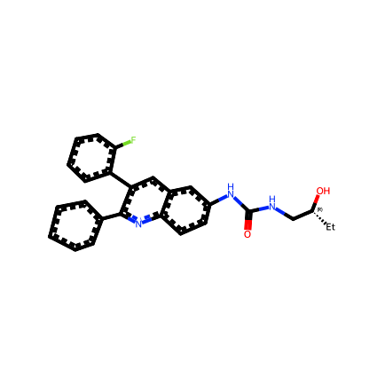 CC[C@@H](O)CNC(=O)Nc1ccc2nc(-c3ccccc3)c(-c3ccccc3F)cc2c1